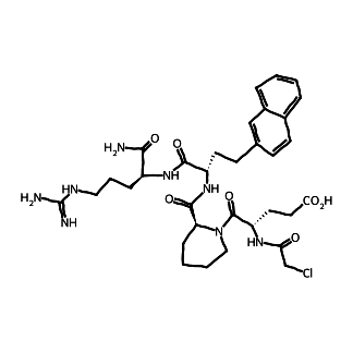 N=C(N)NCCC[C@H](NC(=O)[C@H](CCc1ccc2ccccc2c1)NC(=O)[C@@H]1CCCCN1C(=O)[C@H](CCC(=O)O)NC(=O)CCl)C(N)=O